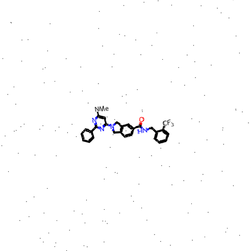 CNc1cc(N2Cc3ccc(C(=O)NCc4ccccc4C(F)(F)F)cc3C2)nc(-c2ccccc2)n1